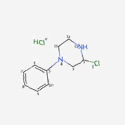 Cl.ClC1CN(c2ccccc2)CCN1